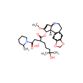 COC1=C[C@]23CCCN2CCc2cc4c(cc2[C@@H]3[C@@H]1OC(=O)[C@@](O)(CCCC(C)(C)O)CC(=O)N1CCCCC1C)OCO4